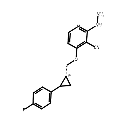 N#Cc1c(OC[C@@H]2CC2c2ccc(F)cc2)ccnc1NN